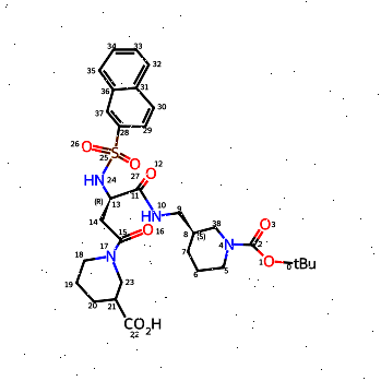 CC(C)(C)OC(=O)N1CCC[C@@H](CNC(=O)[C@@H](CC(=O)N2CCCC(C(=O)O)C2)NS(=O)(=O)c2ccc3ccccc3c2)C1